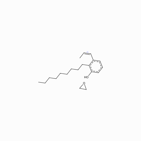 C/C=C\c1cccc(O)c1CCCCCCCCC.C1CO1